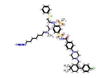 CN(CCCCCCCN=[N+]=[N-])CC[C@H](CSc1ccccc1)Nc1ccc(S(=O)(=O)NC(=O)c2ccc(N3CCN(CC4=C(c5ccc(Cl)cc5)CCC(C)(C)C4)CC3)cc2)cc1S(=O)(=O)C(F)(F)F